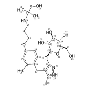 Cc1cc(OCCCNC(C)(C)CO)ccc1Cc1c(O[C@@H]2O[C@H](CO)[C@@H](O)[C@H](O)[C@H]2O)n[nH]c1C(C)C